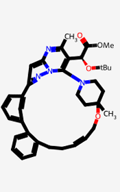 COC(=O)[C@@H](OC(C)(C)C)c1c(C)nc2cc3nn2c1N1CCC(C)(CC1)OCC=CCCc1ccccc1-c1cccc-3c1